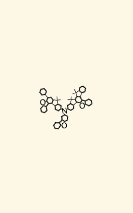 CC1(C)c2cc(N(c3ccc4c(c3)C(C)(C)c3c5c(c6c(oc7ccccc76)c3-4)-c3ccccc3C5(C)C)c3ccc4oc5ccccc5c4c3)ccc2-c2c1cc(-c1ccccc1)c1oc3ccccc3c21